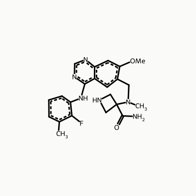 COc1cc2ncnc(Nc3cccc(C)c3F)c2cc1CN(C)C1(C(N)=O)CNC1